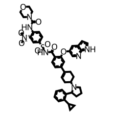 O=C(NS(=O)(=O)c1ccc(NC(=O)N2CCOCC2)c([N+](=O)[O-])c1)c1ccc(C2=CCC(N3CCCC3c3ccccc3C3CC3)CC2)cc1Oc1cnc2[nH]ccc2c1